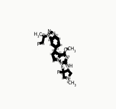 COc1nc(N[C@@H]2CN(C)CC2(F)F)nn2ccc(-c3ccc4nnn([C@H](C)CF)c4c3)c12